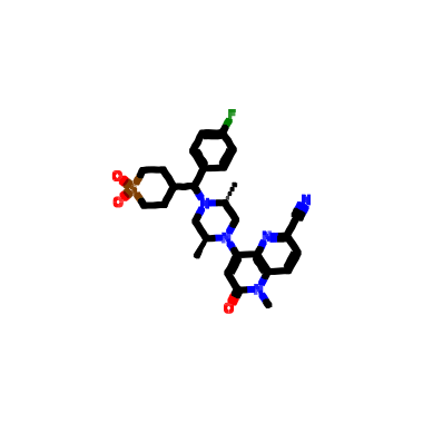 C[C@@H]1CN(c2cc(=O)n(C)c3ccc(C#N)nc23)[C@@H](C)CN1C(c1ccc(F)cc1)C1CCS(=O)(=O)CC1